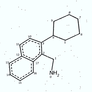 NCc1c(C2CCCCC2)ccc2ccccc12